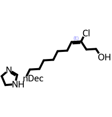 C1=NCCN1.CCCCCCCCCCCCCCCC/C=C(/Cl)CCO